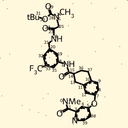 CNC(=O)c1cc(Oc2ccc3c(c2)CC(C(=O)Nc2cc(CNC(=O)CN(C)C(=O)OC(C)(C)C)cc(C(F)(F)F)c2)CC3)ccn1